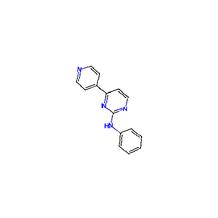 c1ccc(Nc2nccc(-c3ccncc3)n2)cc1